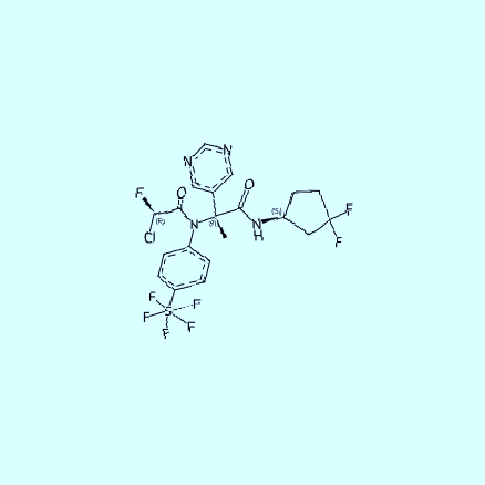 C[C@](C(=O)N[C@H]1CCC(F)(F)C1)(c1cncnc1)N(C(=O)[C@H](F)Cl)c1ccc(S(F)(F)(F)(F)F)cc1